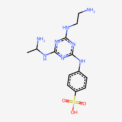 CC(N)Nc1nc(NCCN)nc(Nc2ccc(S(=O)(=O)O)cc2)n1